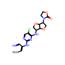 CN/C=C(\C=N)Nc1ncc(Cl)c(NC2COC3C2OCC3N2CCOC2=O)n1